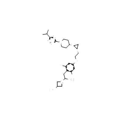 CC(C)c1noc(N2CCC([C@H]3C[C@H]3CCOc3cc(F)c(CC(O)N4CC(O)C4)c(F)c3)CC2)n1